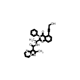 Cc1nn2cccnc2c1C(=O)N[C@@H](C)c1nc2cccc(C#CCO)c2c(=O)n1-c1ccccc1